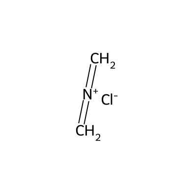 C=[N+]=C.[Cl-]